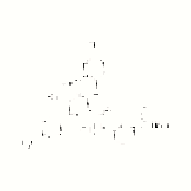 CN[S@+]([O-])c1cccc(NC(=O)c2c(Oc3ccc(C#N)cc3OC)nc(C(C)(C)C)c(-c3ccc(C)cc3)c2C)c1